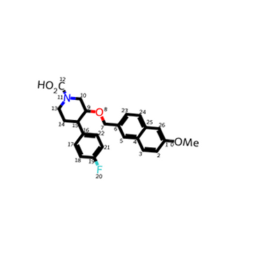 COc1ccc2cc(COC3CN(C(=O)O)CCC3c3ccc(F)cc3)ccc2c1